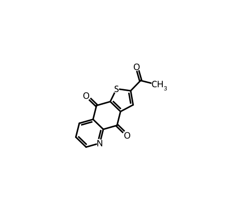 CC(=O)c1cc2c(s1)C(=O)c1cccnc1C2=O